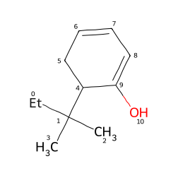 CCC(C)(C)C1CC=CC=C1O